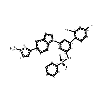 Cn1ncc(-c2ccc3c(c2)ncn3-c2cc(NS(=O)(=O)c3ccccc3)cc(-c3ccc(F)cc3F)c2)n1